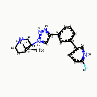 Fc1ccc(-c2cccc(-c3cn([C@H]4CN5CCC4CC5)nn3)c2)cn1